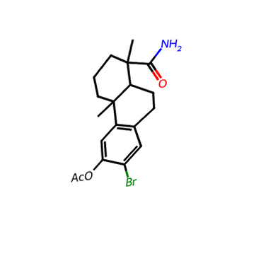 CC(=O)Oc1cc2c(cc1Br)CCC1C(C)(C(N)=O)CCCC21C